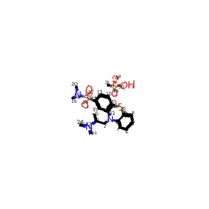 CC(CN1c2ccccc2Sc2ccc(S(=O)(=O)N(C)C)cc21)N(C)C.CS(=O)(=O)O